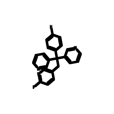 Fc1ccc(C(Cc2ccc(F)nc2)(c2cccnc2)c2cccnc2)cc1